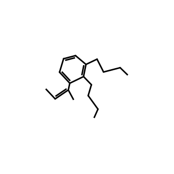 C/C=C(/C)c1cccc(CCCC)c1CCCC